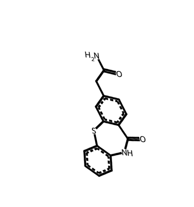 NC(=O)Cc1ccc2c(c1)Sc1ccccc1NC2=O